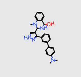 CN(C)c1ccc(-c2cccc(-c3n[nH]cc3C3NC(O)c4ccccc4N3C)c2)cc1